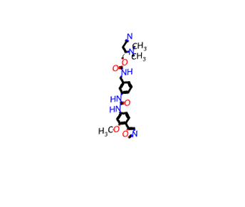 COc1cc(NC(=O)Nc2cccc(CNC(=O)OC[C@H](CC#N)N(C)C)c2)ccc1-c1cnco1